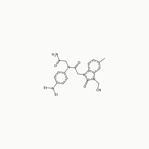 CCN(CC)c1ccc(N(CC(N)=O)C(=O)Cn2c(=O)n(CC#N)c3cc(C)ccc32)cc1